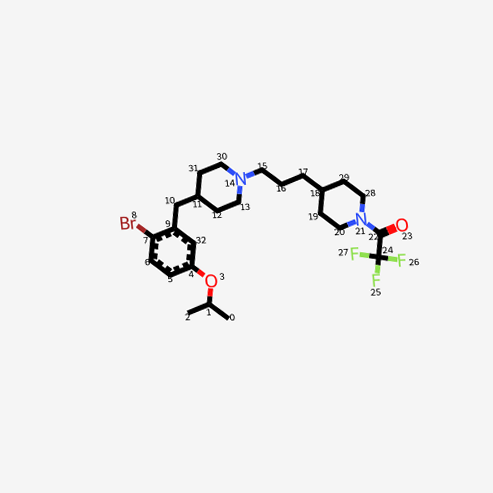 CC(C)Oc1ccc(Br)c(CC2CCN(CCCC3CCN(C(=O)C(F)(F)F)CC3)CC2)c1